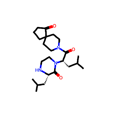 CC(C)C[C@@H]1NCCN([C@@H](CC(C)C)C(=O)N2CCC3(CCCC3=O)CC2)C1=O